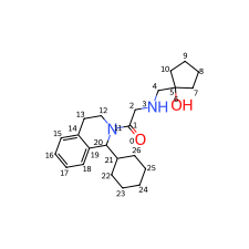 O=C(CNCC1(O)CCCC1)N1CCc2ccccc2C1C1CCCCC1